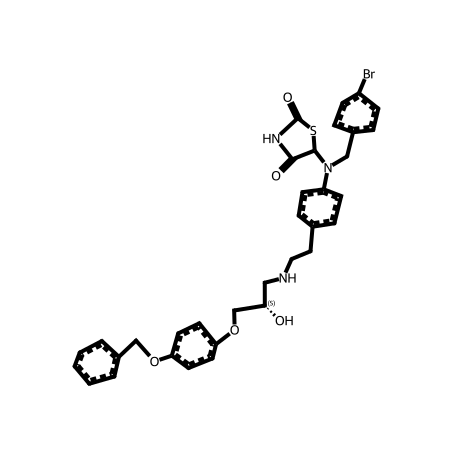 O=C1NC(=O)C(N(Cc2ccc(Br)cc2)c2ccc(CCNC[C@H](O)COc3ccc(OCc4ccccc4)cc3)cc2)S1